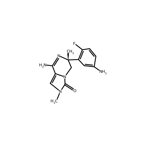 Cn1cc2n(c1=O)C[C@@](C)(c1cc(N)ccc1F)N=C2N